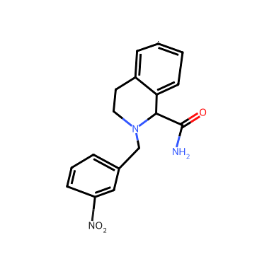 NC(=O)C1c2cc[c]cc2CCN1Cc1cccc([N+](=O)[O-])c1